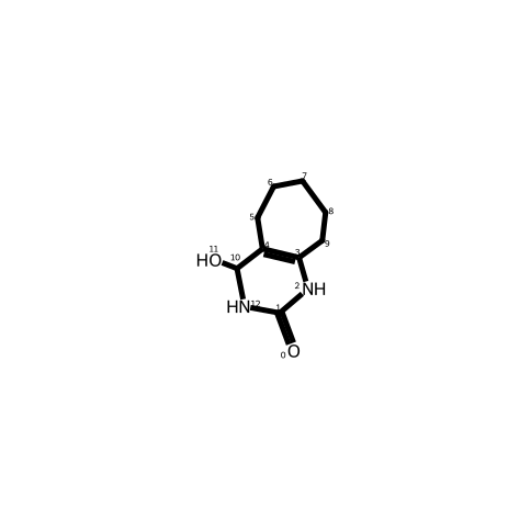 O=C1NC2=C(CCCCC2)C(O)N1